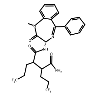 CN1C(=O)[C@@H](NC(=O)C(CCC(F)(F)F)C(CCC(F)(F)F)C(N)=O)N=C(c2ccccc2)c2ccccc21